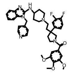 COc1cc(C(=O)N2CCC(CCN3CCC(Nc4nc5ccccc5n4Cc4ccncc4)CC3)(c3ccc(F)c(F)c3)C2)cc(OC)c1OC